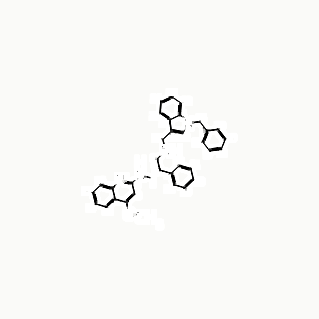 COc1cc(NC[C@H](CNCc2cn(Cc3ccccc3)c3ccccc23)c2ccccc2)nc2ccccc12